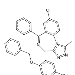 Cc1nnc2n1-c1ccc(Cl)cc1C(c1ccccc1)=NC2.Oc1ccc(OCc2ccccc2)cc1